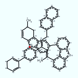 CC1C=Cc2oc3ccc(-c4cccc5oc6cccc(/C(N)=N/C(=N\Cc7ccc8ccccc8c7)c7ccc(C8=CCCC=C8)cc7)c6c45)cc3c2C1